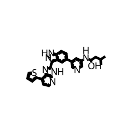 CC(C)CC(O)Nc1cncc(-c2ccc3[nH]nc(-c4nc5c(-c6cccs6)ccnc5[nH]4)c3c2)c1